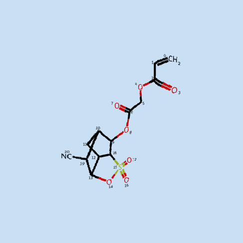 C=CC(=O)OCC(=O)OC1C2CC3C(OS(=O)(=O)C31)C2C#N